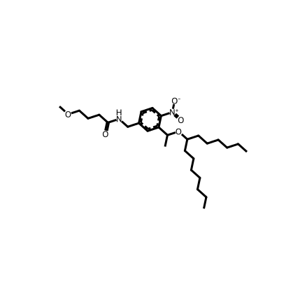 CCCCCCCC(CCCCCC)OC(C)c1cc(CNC(=O)CCCOC)ccc1[N+](=O)[O-]